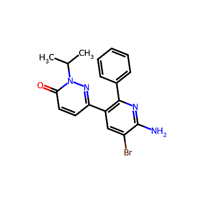 CC(C)n1nc(-c2cc(Br)c(N)nc2-c2ccccc2)ccc1=O